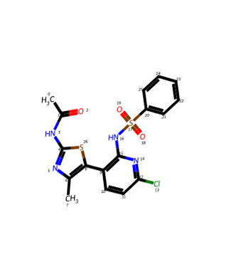 CC(=O)Nc1nc(C)c(-c2ccc(Cl)nc2NS(=O)(=O)c2ccccc2)s1